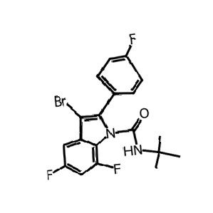 CC(C)(C)NC(=O)n1c(-c2ccc(F)cc2)c(Br)c2cc(F)cc(F)c21